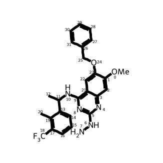 COc1cc2nc(NN)nc(NC(C)c3cccc(C(F)(F)F)c3C)c2cc1OCc1ccccc1